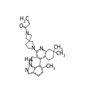 C=CC(=O)N1CC2(CCN(c3nc4c(c(-c5c(C)ccc6cn[nH]c56)c3C)CCC(C)(C)C4)C2)C1